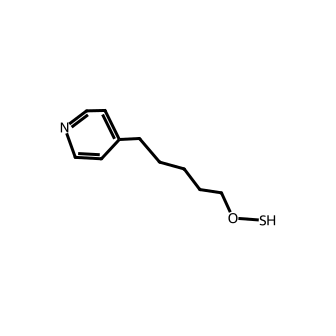 SOCCCCCc1ccncc1